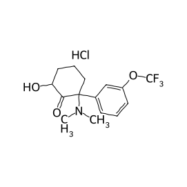 CN(C)C1(c2cccc(OC(F)(F)F)c2)CCCC(O)C1=O.Cl